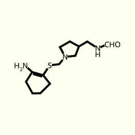 NC1=C(SCN2CCC(CNC=O)C2)CCCC1